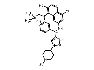 CC(C)(C)N1CCC(N2C=C([C@@H](Nc3cc(Cl)c4ncc(C#N)c(NC[Si](C)(C)C)c4c3)c3ccccc3)NN2)CC1